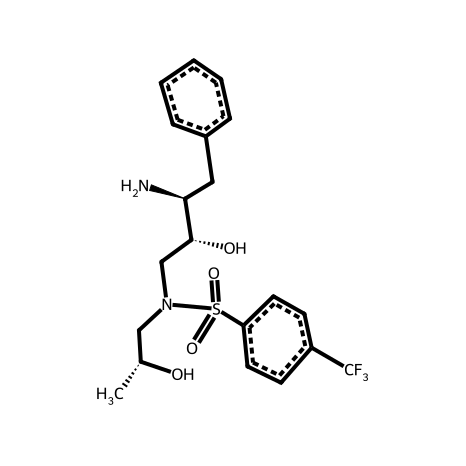 C[C@@H](O)CN(C[C@@H](O)[C@@H](N)Cc1ccccc1)S(=O)(=O)c1ccc(C(F)(F)F)cc1